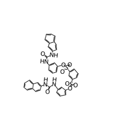 O=C(Nc1cccc(OS(=O)(=O)c2cccc(S(=O)(=O)Oc3cccc(NC(=O)Nc4ccc5ccccc5c4)c3)c2)c1)Nc1ccc2ccccc2c1